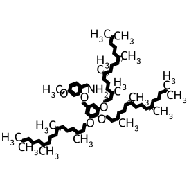 COc1ccc(CN)c(OCc2cc(OCCC(C)CCC[C@H](C)CCC[C@H](C)CCCC(C)C)c(OCCC(C)CCC[C@H](C)CCC[C@H](C)CCCC(C)C)c(OCCC(C)CCC[C@H](C)CCC[C@H](C)CCCC(C)C)c2)c1